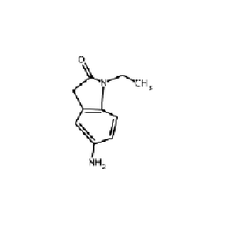 CCN1C(=O)Cc2cc(N)ccc21